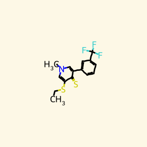 CCSc1cn(C)cc(-c2cccc(C(F)(F)F)c2)c1=S